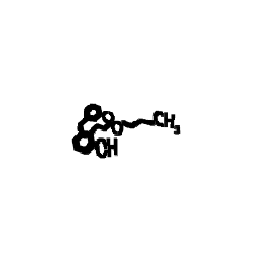 CCCCCOC(=O)CCc1c(O)cccc1Cc1ccccc1